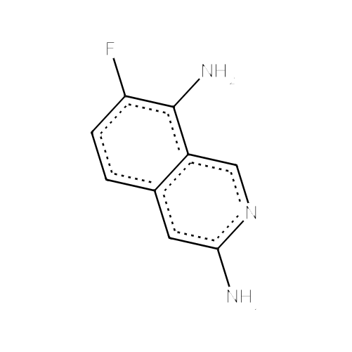 Nc1cc2ccc(F)c(N)c2cn1